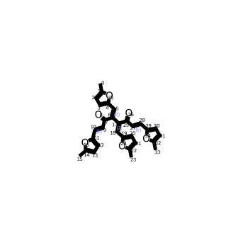 Cc1ccc(/C=C(C(=O)/C=C/c2ccc(C)o2)/C(=C/c2ccc(C)o2)C(=O)/C=C/c2ccc(C)o2)o1